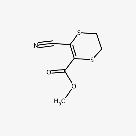 COC(=O)C1=C(C#N)SCCS1